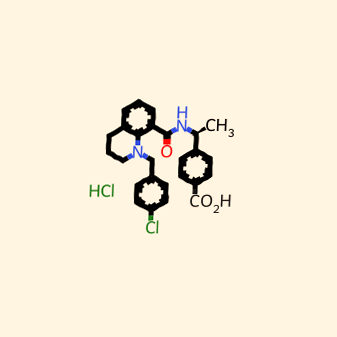 C[C@H](NC(=O)c1cccc2c1N(Cc1ccc(Cl)cc1)CCC2)c1ccc(C(=O)O)cc1.Cl